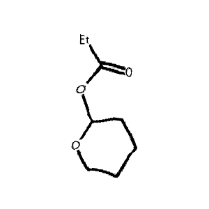 [CH2]CC(=O)OC1CCCCO1